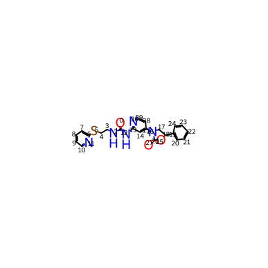 O=C(NCCSc1ccccn1)Nc1cc(N2CC(c3ccccc3)OC2=O)ccn1